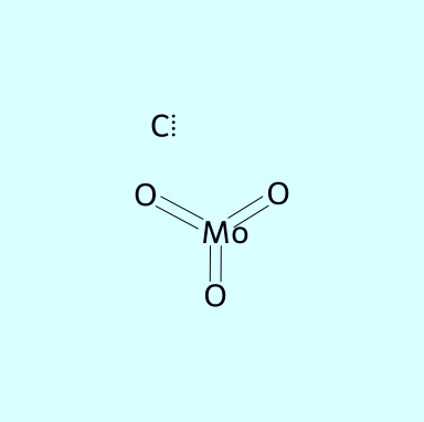 [C].[O]=[Mo](=[O])=[O]